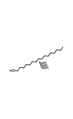 CCCCCCCCCCCCCCCCO.[NaH].[NaH].[NaH]